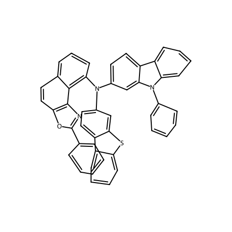 c1ccc(-c2nc3c(ccc4cccc(N(c5ccc6c(c5)sc5ccccc56)c5ccc6c7ccccc7n(-c7ccccc7)c6c5)c43)o2)cc1